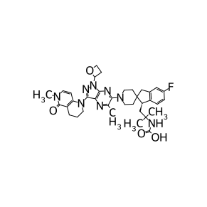 Cc1nc2c(N3CCCc4c3ccn(C)c4=O)nn(C3CCO3)c2nc1N1CCC2(CC1)Cc1cc(F)ccc1[C@H]2CC(C)(C)NC(=O)O